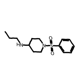 CCCNC1CCN(S(=O)(=O)c2ccccc2)CC1